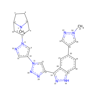 CN1C2CCC1CC(n1cc(-n3cc(-c4n[nH]c5ccc(-c6cnn(C)c6)cc45)nn3)cn1)C2